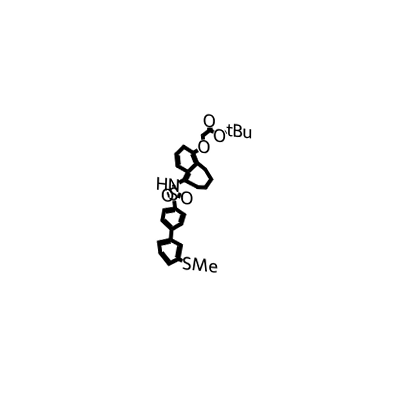 CSc1cccc(-c2ccc(S(=O)(=O)NC3=C4C=CCC(OCC(=O)OC(C)(C)C)=C4CCCC3)cc2)c1